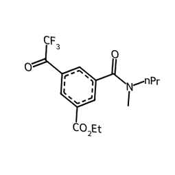 CCCN(C)C(=O)c1cc(C(=O)OCC)cc(C(=O)C(F)(F)F)c1